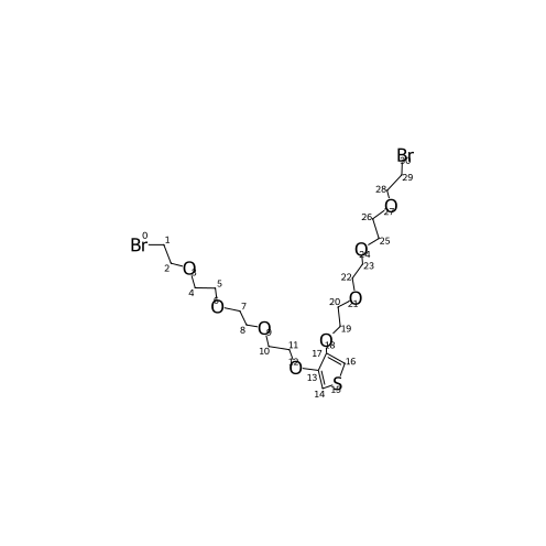 BrCCOCCOCCOCCOc1cscc1OCCOCCOCCOCCBr